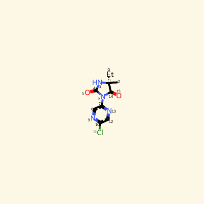 CC[C@@]1(C)NC(=O)N(c2cnc(Cl)cn2)C1=O